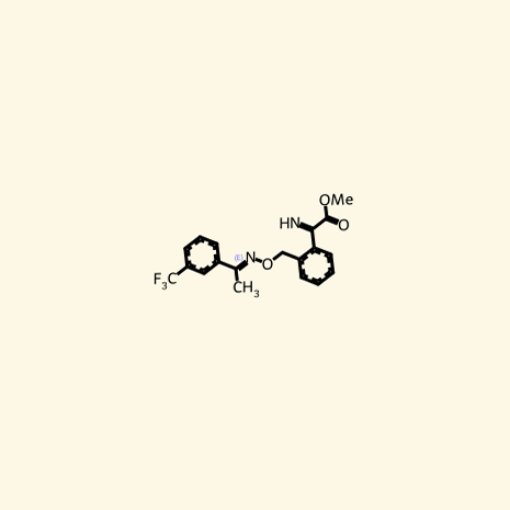 COC(=O)C(=N)c1ccccc1CO/N=C(\C)c1cccc(C(F)(F)F)c1